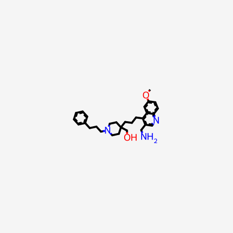 COc1ccc2ncc(CN)c(CCCC3(CO)CCN(CCCc4ccccc4)CC3)c2c1